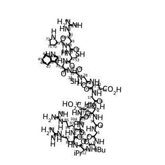 CC[C@H](C)[C@H](NC(=O)CNC(=O)CNC(=O)CNC(=O)CNC(=O)[C@H](CCC(=O)O)NC(=O)CNC(=O)[C@H](CS)NC(=O)[C@H](Cc1c[nH]c2ccccc12)NC(=O)[C@H](CS)NC(=O)[C@H](CCCNC(=N)N)NC(=O)[C@@H]1CCCN1)C(=O)N[C@H](C(=O)N[C@@H](CCCNC(=N)N)C(=O)N[C@@H](CCCNC(=N)N)C(=O)N[C@@H](C)C(=O)N[C@@H](CC(=O)O)C(=O)O)C(C)C